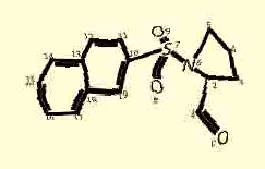 O=C[C@@H]1CCCN1S(=O)(=O)c1ccc2ccccc2c1